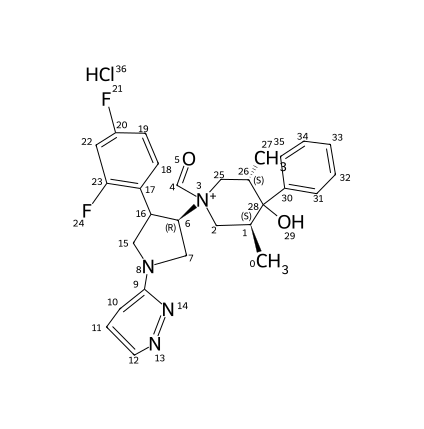 C[C@H]1C[N+](C=O)([C@H]2CN(c3cccnn3)CC2c2ccc(F)cc2F)C[C@H](C)C1(O)c1ccccc1.Cl